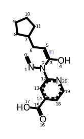 C=NN(/C(O)=C\CC1CCCC1)c1cc(C(=O)O)ccn1